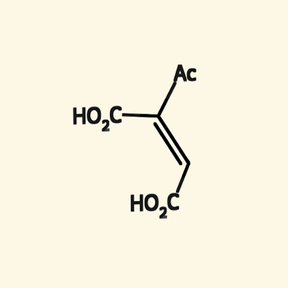 CC(=O)/C(=C/C(=O)O)C(=O)O